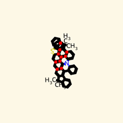 CC1(C)c2ccccc2-c2cc(-c3ccccc3N(c3ccccc3-c3cccc4c3-c3ccccc3C4(C)C)c3ccccc3-c3cccc4sc5ccccc5c34)ccc21